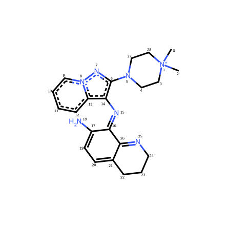 C[N+]1(C)CCN(c2nn3ccccc3c2N=C2C(N)=CC=C3CCCN=C32)CC1